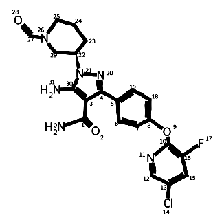 NC(=O)c1c(-c2ccc(Oc3ncc(Cl)cc3F)cc2)nn([C@@H]2CCCN(C=O)C2)c1N